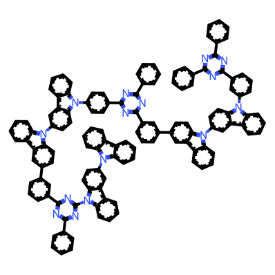 c1ccc(-c2nc(-c3ccc(-n4c5ccccc5c5cc(-n6c7ccccc7c7cc(-c8cccc(-c9nc(-c%10ccccc%10)nc(-n%10c%11ccccc%11c%11cc(-n%12c%13ccccc%13c%13ccccc%13%12)ccc%11%10)n9)c8)ccc76)ccc54)cc3)nc(-c3cccc(-c4ccc5c(c4)c4ccccc4n5-c4ccc5c(c4)c4ccccc4n5-c4cccc(-c5nc(-c6ccccc6)nc(-c6ccccc6)n5)c4)c3)n2)cc1